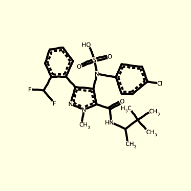 CC(NC(=O)c1c(N(c2ccc(Cl)cc2)S(=O)(=O)O)c(-c2ccccc2C(F)F)nn1C)C(C)(C)C